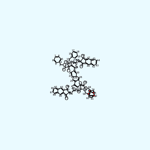 O=C(OCc1ccccc1)C1(C(=O)OCc2ccccc2)OC2=CC3C=C4C(=CC3C=C2c2sc(N=c3c(=O)c5cc6ccccc6cc5c3=O)nc21)OC(C(=O)OCc1ccccc1)(C(=O)OCc1ccccc1)c1nc(N=c2c(=O)c3cc5ccccc5cc3c2=O)sc14